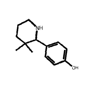 CC1(C)CCCNC1c1c[c]c(O)cc1